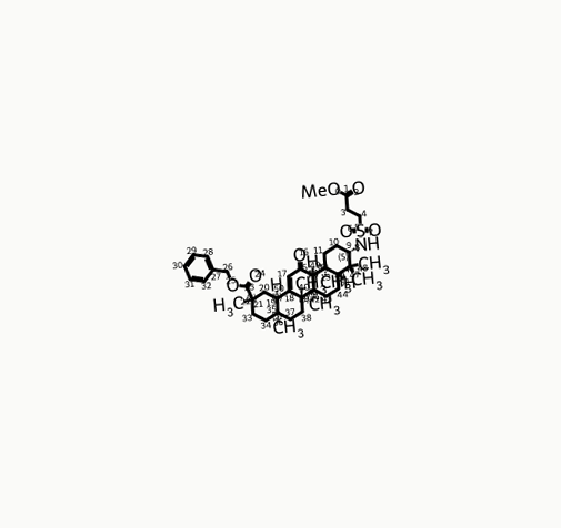 COC(=O)CCS(=O)(=O)N[C@H]1CC[C@]2(C)[C@H]3C(=O)C=C4[C@@H]5C[C@@](C)(C(=O)OCc6ccccc6)CC[C@]5(C)CC[C@@]4(C)[C@]3(C)CC[C@H]2C1(C)C